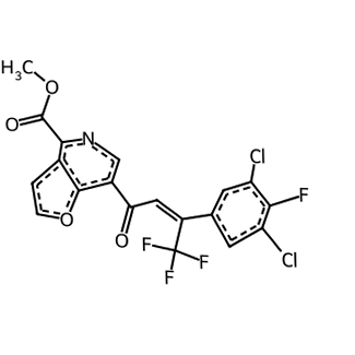 COC(=O)c1ncc(C(=O)/C=C(/c2cc(Cl)c(F)c(Cl)c2)C(F)(F)F)c2occc12